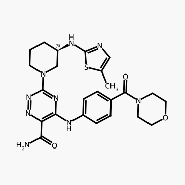 Cc1cnc(N[C@@H]2CCCN(c3nnc(C(N)=O)c(Nc4ccc(C(=O)N5CCOCC5)cc4)n3)C2)s1